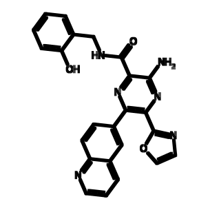 Nc1nc(-c2ncco2)c(-c2ccc3ncccc3c2)nc1C(=O)NCc1ccccc1O